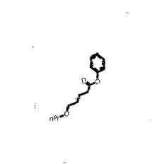 [CH2]CCOCCCCC(=O)Oc1ccccc1